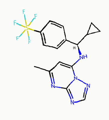 Cc1cc(N[C@@H](c2ccc(S(F)(F)(F)(F)F)cc2)C2CC2)n2ncnc2n1